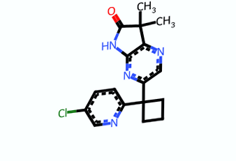 CC1(C)C(=O)Nc2nc(C3(c4ccc(Cl)cn4)CCC3)cnc21